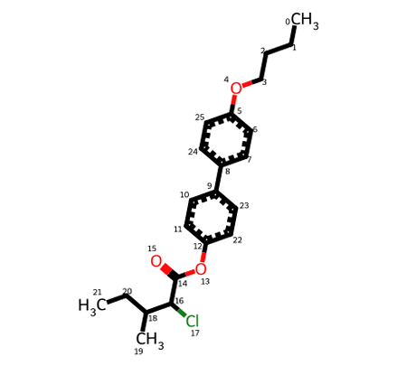 CCCCOc1ccc(-c2ccc(OC(=O)C(Cl)C(C)CC)cc2)cc1